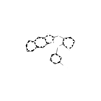 FC(F)(F)c1cccc(Oc2ncccc2Nc2nc3cc4ccccc4cc3[nH]2)c1